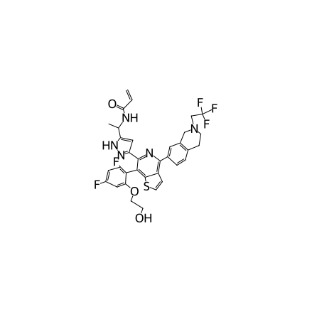 C=CC(=O)NC(C)c1cc(-c2nc(-c3ccc4c(c3)CN(CC(F)(F)F)CC4)c3ccsc3c2-c2c(F)cc(F)cc2OCCO)n[nH]1